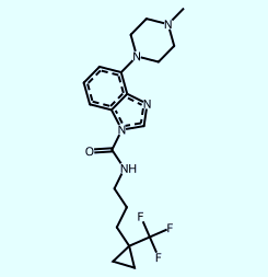 CN1CCN(c2cccc3c2ncn3C(=O)NCCCC2(C(F)(F)F)CC2)CC1